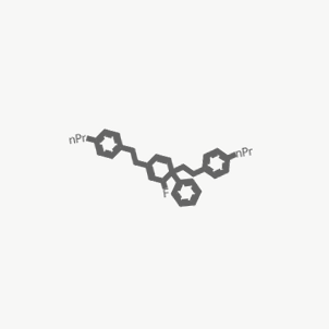 CCCc1ccc(CCC2=CC(F)C(CCc3ccc(CCC)cc3)(c3ccccc3)C=C2)cc1